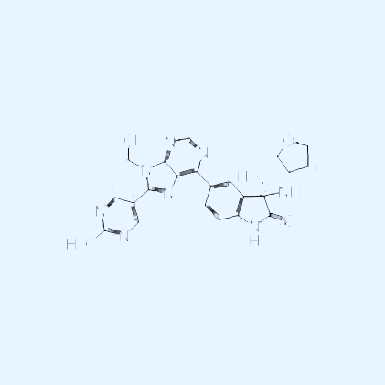 CCn1c(-c2cnc(C)nc2)nc2c(-c3ccc4c(c3)[C@@](C)(N[C@H]3CCOC3)C(=O)N4)ncnc21